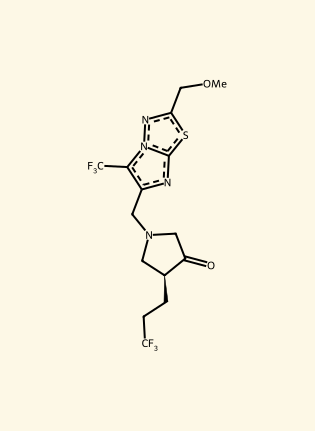 COCc1nn2c(C(F)(F)F)c(CN3CC(=O)[C@@H](CCC(F)(F)F)C3)nc2s1